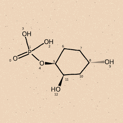 O=P(O)(O)O[C@H]1CC[C@H](O)C[C@H]1O